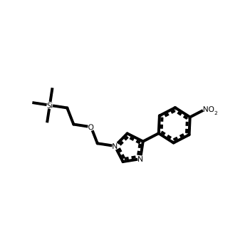 C[Si](C)(C)CCOCn1cnc(-c2ccc([N+](=O)[O-])cc2)c1